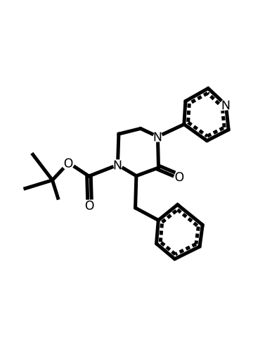 CC(C)(C)OC(=O)N1CCN(c2ccncc2)C(=O)C1Cc1ccccc1